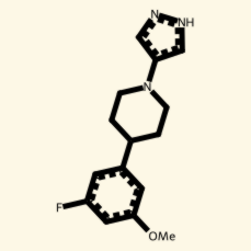 COc1cc(F)cc(C2CCN(c3cn[nH]c3)CC2)c1